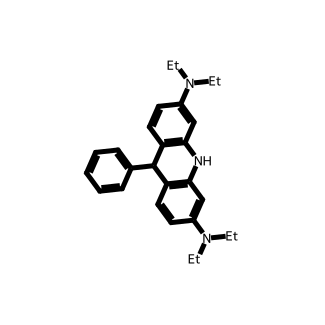 CCN(CC)c1ccc2c(c1)Nc1cc(N(CC)CC)ccc1C2c1ccccc1